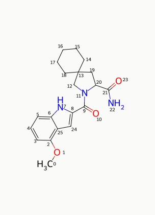 COc1cccc2[nH]c(C(=O)N3CC4(CCCCC4)CC3C(N)=O)cc12